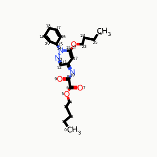 CCCCCOC(=O)C(=O)N=c1cnn(C2C=CCC=C2)c(OCCCC)c1